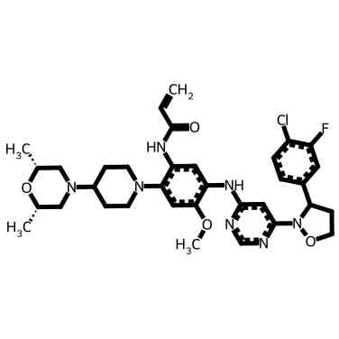 C=CC(=O)Nc1cc(Nc2cc(N3OCCC3c3ccc(Cl)c(F)c3)ncn2)c(OC)cc1N1CCC(N2C[C@@H](C)O[C@@H](C)C2)CC1